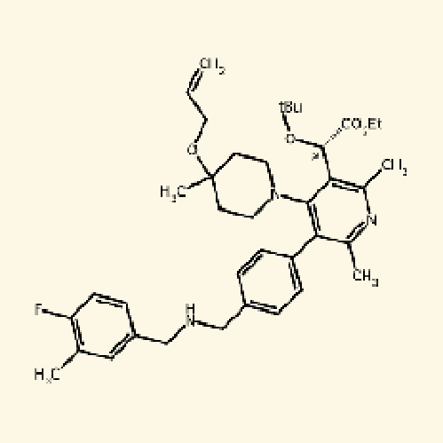 C=CCOC1(C)CCN(c2c(-c3ccc(CNCc4ccc(F)c(C)c4)cc3)c(C)nc(C)c2[C@H](OC(C)(C)C)C(=O)OCC)CC1